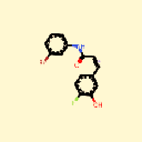 O=C(/C=C\c1ccc(F)c(O)c1)Nc1cccc(Br)c1